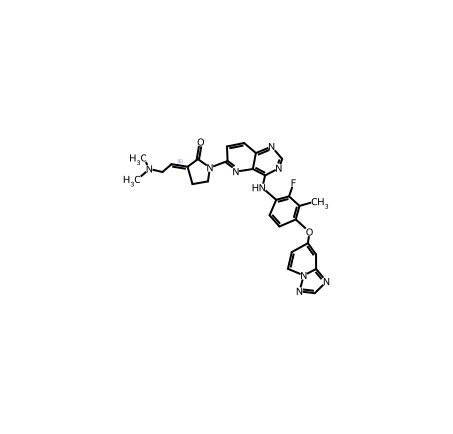 Cc1c(Oc2ccn3ncnc3c2)ccc(Nc2ncnc3ccc(N4CC/C(=C\CN(C)C)C4=O)nc23)c1F